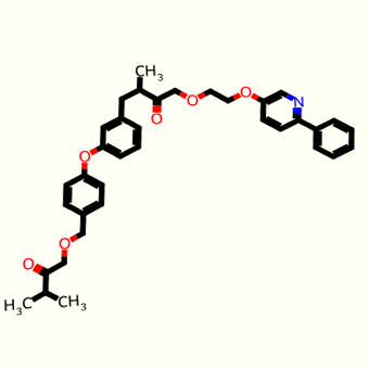 CC(C)C(=O)COCc1ccc(Oc2cccc(CC(C)C(=O)COCCOc3ccc(-c4ccccc4)nc3)c2)cc1